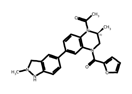 CC(=O)N1c2ccc(-c3ccc4c(c3)CN(C)N4)cc2N(C(=O)c2ccco2)C[C@@H]1C